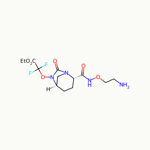 CCOC(=O)C(F)(F)ON1C(=O)N2C[C@H]1CC[C@H]2C(=O)NOCCN